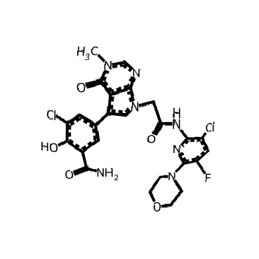 Cn1cnc2c(c(-c3cc(Cl)c(O)c(C(N)=O)c3)cn2CC(=O)Nc2nc(N3CCOCC3)c(F)cc2Cl)c1=O